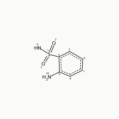 [NH]S(=O)(=O)c1ccccc1N